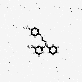 CCCCc1ccc(OCCN(c2ccccc2)c2cc(C)ccn2)cc1